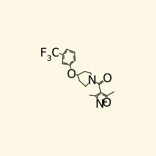 Cc1noc(C)c1C(=O)N1CCC(Oc2cccc(C(F)(F)F)c2)CC1